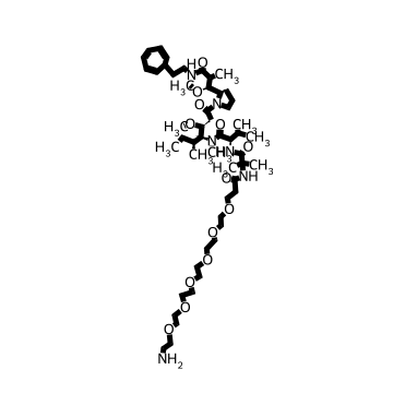 CC[C@H](C)[C@@H]([C@@H](CC(=O)N1CCC[C@H]1[C@H](OC)C(C)C(=O)NCCC1C=CC=CC=C1)OC)N(C)C(=O)[C@@H](NC(=O)C(C)(C)NC(=O)CCOCCOCCOCCOCCOCCOCCN)C(C)C